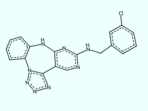 Clc1cccc(CNc2ncc3c(n2)Nc2ccccc2-n2nnnc2-3)c1